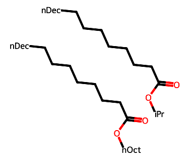 CCCCCCCCCCCCCCCCCC(=O)OC(C)C.CCCCCCCCCCCCCCCCCC(=O)OCCCCCCCC